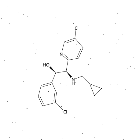 O[C@H](c1cccc(Cl)c1)[C@H](NCC1CC1)c1ccc(Cl)cn1